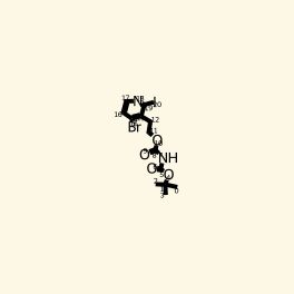 CC(C)(C)OC(=O)NC(=O)OCCc1c(Br)ccnc1I